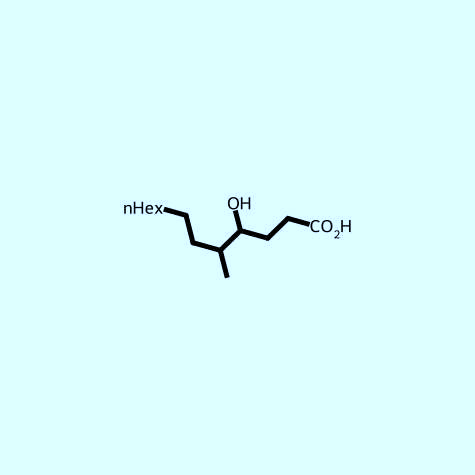 CCCCCCCCC(C)C(O)CCC(=O)O